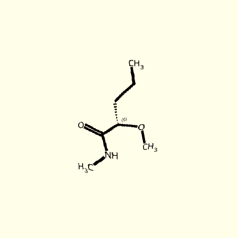 CCC[C@H](OC)C(=O)NC